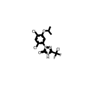 CC(C)Oc1cc(-n2nc(C(F)(F)Cl)[nH]c2=O)c(Cl)cc1Cl